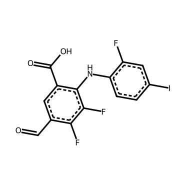 O=Cc1cc(C(=O)O)c(Nc2ccc(I)cc2F)c(F)c1F